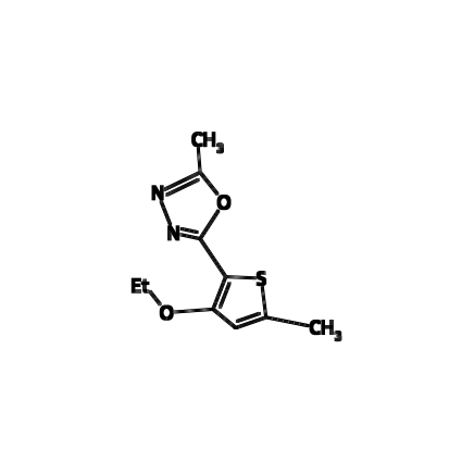 CCOc1cc(C)sc1-c1nnc(C)o1